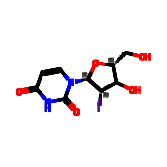 O=c1ccn([C@@H]2O[C@H](CO)C(O)[C@@H]2I)c(=O)[nH]1